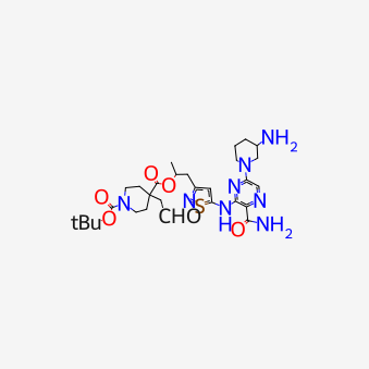 CC(Cc1cc(Nc2nc(N3CCCC(N)C3)cnc2C(N)=O)sn1)OC(=O)C1(CC=O)CCN(C(=O)OC(C)(C)C)CC1